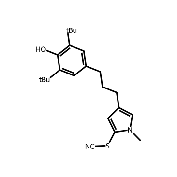 Cn1cc(CCCc2cc(C(C)(C)C)c(O)c(C(C)(C)C)c2)cc1SC#N